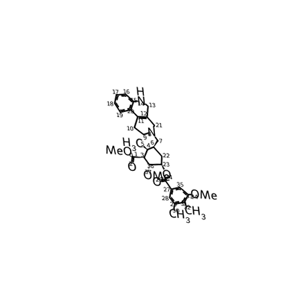 COC(=O)[C@H]1[C@@H](C)[C@@H](CN2CCC3=C(CNc4ccccc43)C2)C[C@@H](OC(=O)c2cc(C)c(C)c(OC)c2)[C@@H]1OC